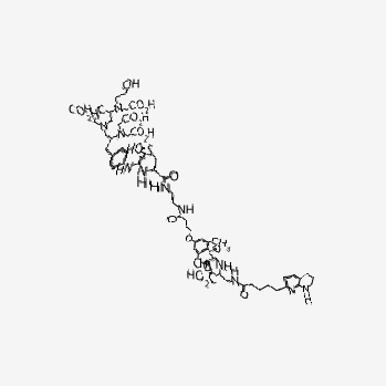 Cc1cc(OCCCC(=O)NCCNC(=O)C(CS(=O)(=O)O)NC(=S)Nc2ccc(CC(CN(CC(=O)O)CC(C)N(CCO)CC(=O)O)N(CC(=O)O)CC(=O)O)cc2)cc(C)c1S(=O)(=O)NC(CNC(=O)CCCCc1ccc2c(n1)NCCC2)C(=O)O